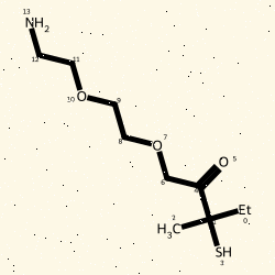 CCC(C)(S)C(=O)COCCOCCN